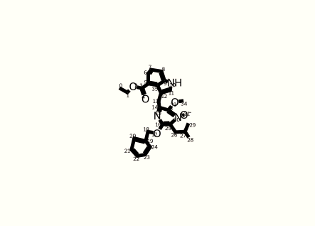 CCOC(=O)c1cccc2[nH]cc(Cc3nc(OCc4ccccc4)c(CC(C)C)[n+]([O-])c3OC)c12